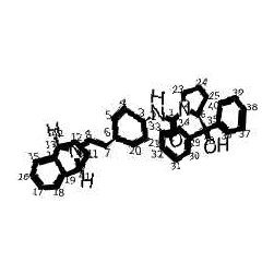 O=C(N[C@H]1CC[C@H](CCN2[C@@H]3CC[C@H]2c2ccccc23)CC1)N1CCC[C@H]1C(O)(c1ccccc1)c1ccccc1